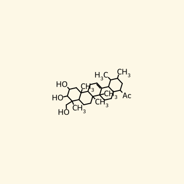 CC(=O)C1CC(C)C(C)C2C3=CCC4C5(C)CC(O)C(O)C(C)(CO)C5CCC4(C)C3(C)CCC12